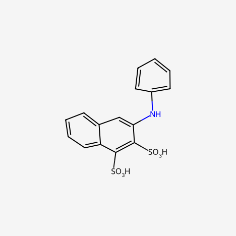 O=S(=O)(O)c1c(Nc2ccccc2)cc2ccccc2c1S(=O)(=O)O